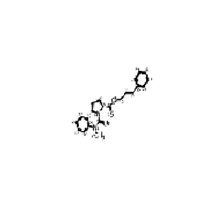 CN(C(=O)N1CCC[C@H]1C(=S)OCCCc1ccccc1)c1ccccc1